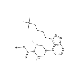 C[C@@H]1CN(c2cccc3nnn(COCC[Si](C)(C)C)c23)C[C@H](C)N1C(=O)OC(C)(C)C